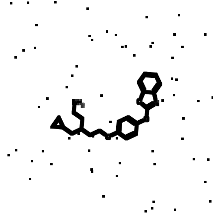 NCCC(CCOc1ccc(Oc2nc3ccccc3o2)cc1)CC1CC1